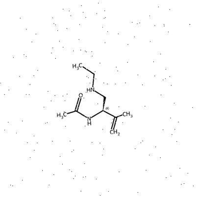 C=C(C)[C@H](CNCC)NC(C)=O